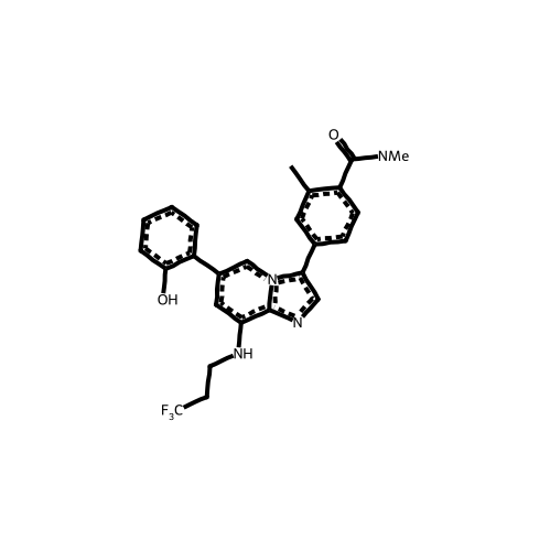 CNC(=O)c1ccc(-c2cnc3c(NCCC(F)(F)F)cc(-c4ccccc4O)cn23)cc1C